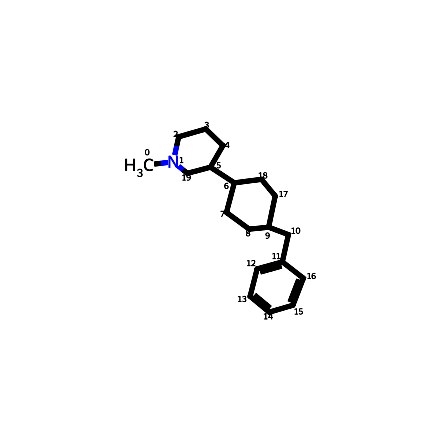 CN1CCCC(C2CCC(Cc3ccccc3)CC2)C1